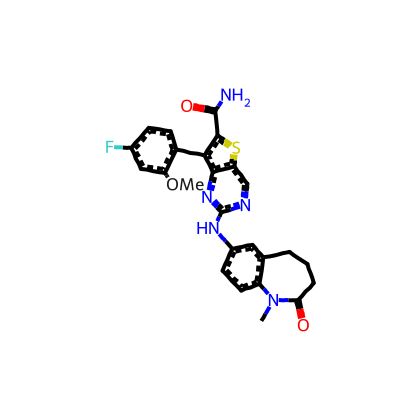 COc1cc(F)ccc1-c1c(C(N)=O)sc2cnc(Nc3ccc4c(c3)CCCC(=O)N4C)nc12